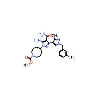 Cc1cccc(Cn2cc(-c3nn(C4CCCN(C(=O)OC(C)(C)C)CCC4)c(N)c3C(N)=O)c(C)n2)c1